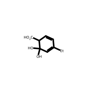 CCC1=CC(O)(O)C(C(=O)O)C=C1